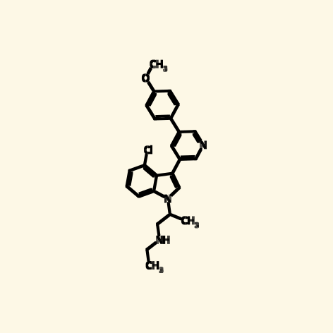 CCNCC(C)n1cc(-c2cncc(-c3ccc(OC)cc3)c2)c2c(Cl)cccc21